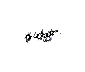 CO/N=C(\C(=O)N[C@@H]1C(=O)N2C(C(=O)O)=C(COc3ccc[n+]([O-])c3)CS[C@H]12)c1csc(N)n1